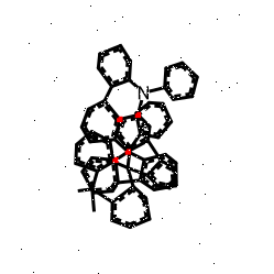 CC1(C)c2ccccc2C2(c3ccccc3-c3cc(N(c4ccccc4)c4ccccc4-c4cccc(C5(c6ccccc6)c6ccccc6-c6ccccc65)c4)ccc32)c2ccccc21